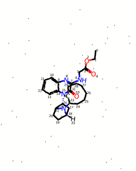 CCOC(=O)CNc1nc2ccccc2n([C@@H]2C[C@@H]3CCC2N3C2CCCCCCC2)c1=O